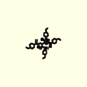 CCC1CCC(NC(=O)CC(C(=O)NC2CCC(CC)CC2)C(CC(=O)NC2CCC(CC)CC2)C(=O)NC2CCC(CC)CC2)CC1